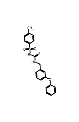 Cc1ccc(S(=O)(=O)NC(=S)NCc2cccc(Oc3ccccc3)c2)cc1